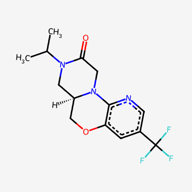 CC(C)N1C[C@@H]2COc3cc(C(F)(F)F)cnc3N2CC1=O